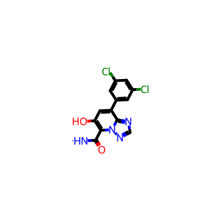 [NH]C(=O)c1c(O)cc(-c2cc(Cl)cc(Cl)c2)c2ncnn12